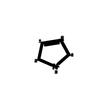 [C]1=CC[N]C1